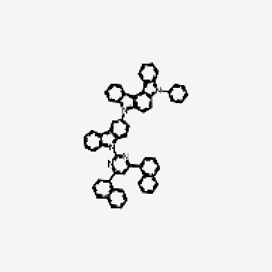 c1ccc(-n2c3ccccc3c3c4c5ccccc5n(-c5ccc6c(c5)c5ccccc5n6-c5nc(-c6cccc7ccccc67)cc(-c6cccc7ccccc67)n5)c4ccc32)cc1